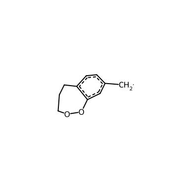 [CH2]c1ccc2c(c1)OOCCC2